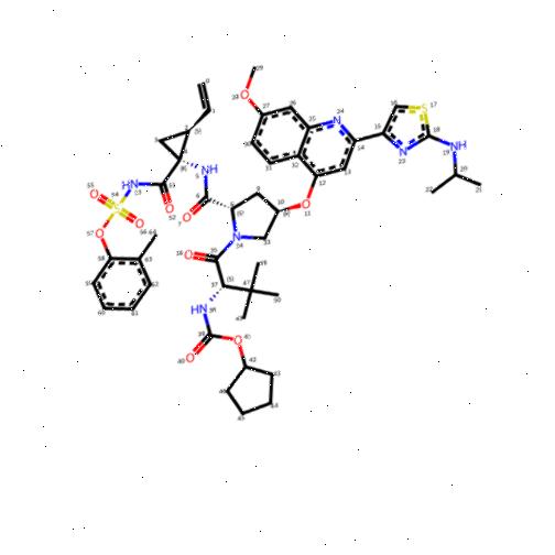 C=C[C@@H]1C[C@]1(NC(=O)[C@@H]1C[C@@H](Oc2cc(-c3csc(NC(C)C)n3)nc3cc(OC)ccc23)CN1C(=O)[C@@H](NC(=O)OC1CCCC1)C(C)(C)C)C(=O)NS(=O)(=O)Oc1ccccc1C